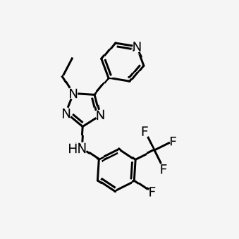 CCn1nc(Nc2ccc(F)c(C(F)(F)F)c2)nc1-c1ccncc1